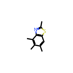 Cc1nc2c(C)c(C)c(C)cc2s1